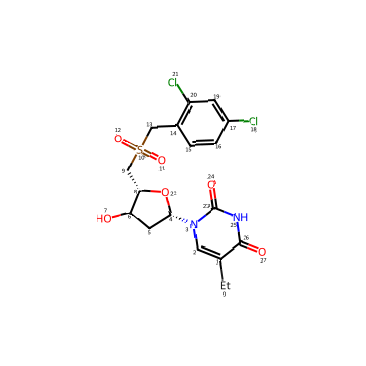 CCc1cn([C@@H]2CC(O)[C@H](CS(=O)(=O)Cc3ccc(Cl)cc3Cl)O2)c(=O)[nH]c1=O